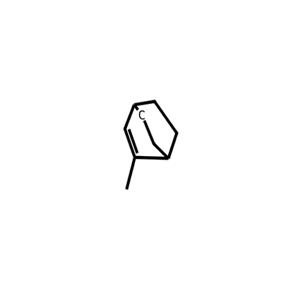 CC1=CC2CCC1CC2